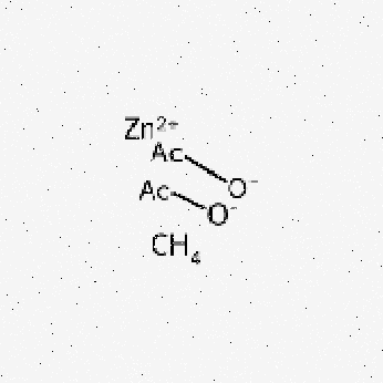 C.CC(=O)[O-].CC(=O)[O-].[Zn+2]